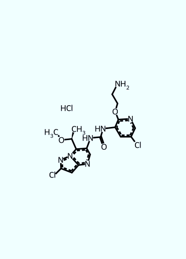 CO[C@@H](C)c1c(NC(=O)Nc2cc(Cl)cnc2OCCN)cnc2cc(Cl)nn12.Cl